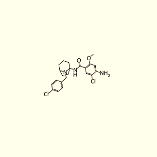 COc1cc(N)c(Cl)cc1C(=O)NC12CCCC(CC1)N2Cc1ccc(Cl)cc1